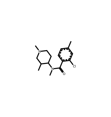 Cc1ccc(C(=O)N(C)C2CCN(C)CC2C)c(Cl)c1